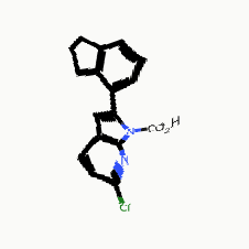 O=C(O)n1c(-c2cccc3c2CCC3)cc2ccc(Cl)nc21